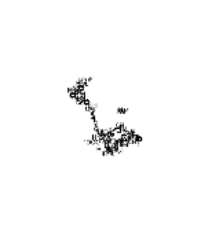 CCCNC(=O)Nc1cccc(S(=O)(=O)Nc2cccc([C@@H](CC(=O)[O-])NC(=O)Nc3ccc(NC(=O)NCCOCCOCCOCCC(=O)N[C@@H](CC(=O)[O-])C(=O)N4CCC[C@H]4C(=O)N[C@H](C(=O)NCCC(C)(C)C(=O)OCCCNC(=O)[C@H](Cc4ccccc4)NC(=O)[C@H](C)[C@@H](OC)[C@@H]4CCCN4C(=O)C[C@@H](OC)[C@H]([C@@H](C)CC)N(C)C(=O)[C@@H](NC(=O)[C@H](C(C)C)N(C)C)C(C)C)C(C)C)cc3)c2)c1.[Na+].[Na+]